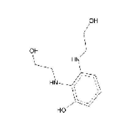 OCCNc1cccc(O)c1NCCO